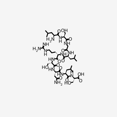 CC(C)C[C@H](NC(=O)CNC(=O)[C@H](CO)NC(=O)[C@@H](N)CC(C)C)C(=O)N[C@@H](CCCNC(=N)N)C(=O)N[C@@H](CO)C(=O)N[C@@H](CC(N)=O)C(=O)N[C@@H](CC(C)C)C(=O)N[C@@H](CO)C(=O)O